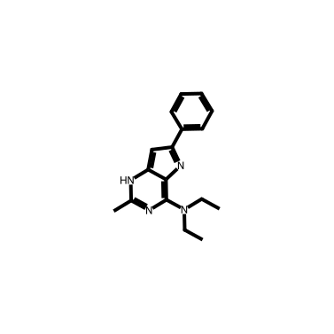 CCN(CC)c1nc(C)[nH]c2cc(-c3ccccc3)nc1-2